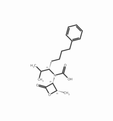 CC(C)[C@H](CCCCc1ccccc1)N(C(=O)O)[C@H]1C(=O)O[C@H]1C